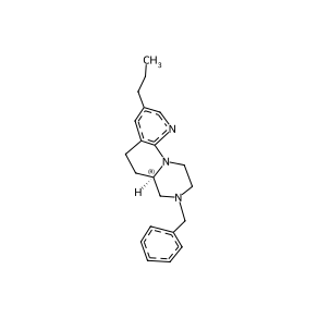 CCCc1cnc2c(c1)CC[C@@H]1CN(Cc3ccccc3)CCN21